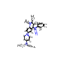 CC(=O)N1c2ccc(N3CCC(N(C(=O)O)C(C)(C)C)CC3)cc2[C@H](Nc2ccccc2)[C@@H](C)[C@@H]1C